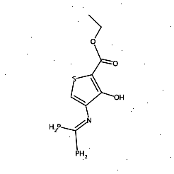 CCOC(=O)c1scc(N=C(P)P)c1O